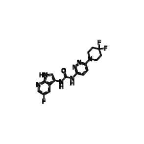 O=C(Nc1ccc(N2CCC(F)(F)CC2)nn1)Nc1c[nH]c2ncc(F)cc12